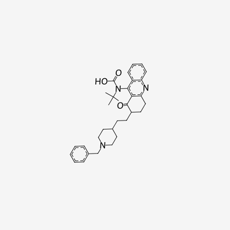 CC(C)(C)N(C(=O)O)c1c2c(nc3ccccc13)CCC(CCC1CCN(Cc3ccccc3)CC1)C2=O